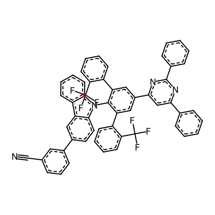 N#Cc1cccc(-c2ccc3c(c2)c2ccccc2n3-c2c(-c3ccccc3C(F)(F)F)cc(-c3cc(-c4ccccc4)nc(-c4ccccc4)n3)cc2-c2ccccc2C(F)(F)F)c1